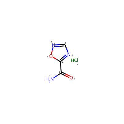 Cl.NC(=O)c1ncno1